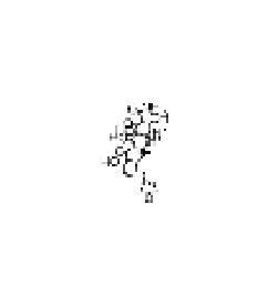 CN(C)[C@@H]1C(O)C(C(N)=O)C(=O)[C@@]2(O)C(O)=C3C(=O)c4c(O)ccc(CN5CCOCC5)c4C[C@H]3C[C@@H]12